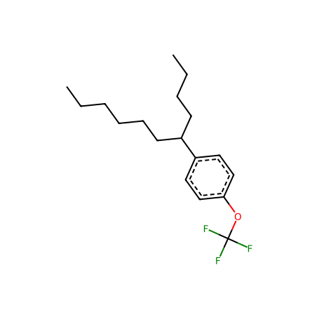 CCCCCCC(CCCC)c1ccc(OC(F)(F)F)cc1